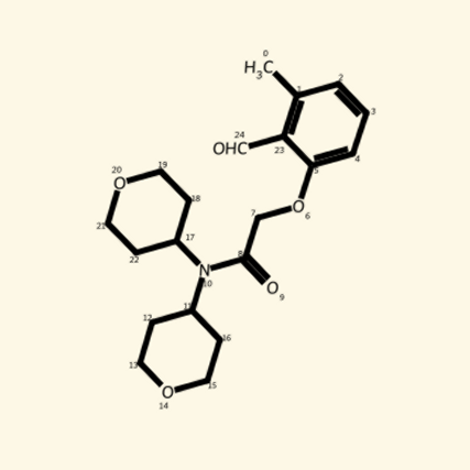 Cc1cccc(OCC(=O)N(C2CCOCC2)C2CCOCC2)c1C=O